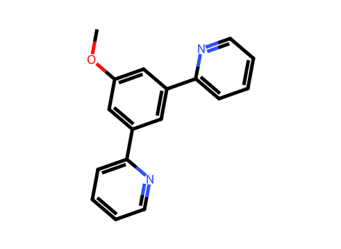 COc1cc(-c2ccccn2)cc(-c2ccccn2)c1